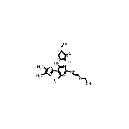 CCOCCNc1nc(C)c(-c2nc(C)c(C)s2)c(N[C@@H]2C[C@H](CO)[C@@H](O)[C@H]2O)n1